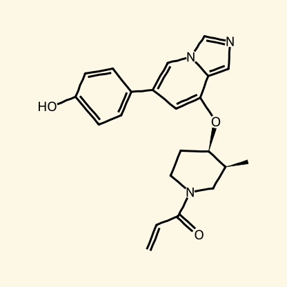 C=CC(=O)N1CC[C@@H](Oc2cc(-c3ccc(O)cc3)cn3cncc23)[C@@H](C)C1